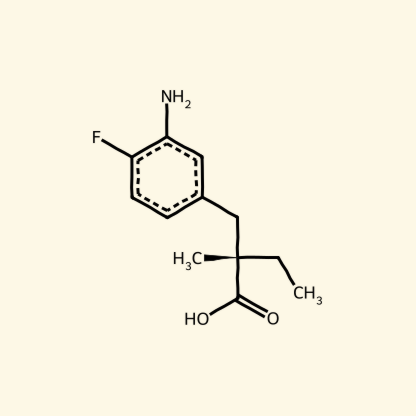 CC[C@@](C)(Cc1ccc(F)c(N)c1)C(=O)O